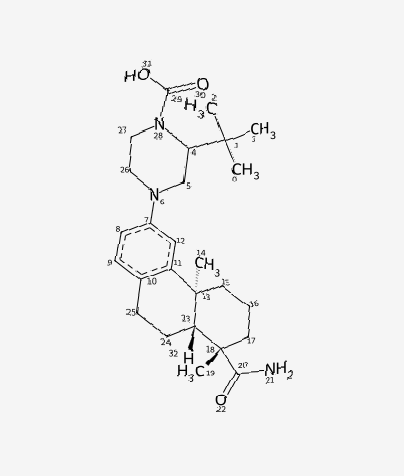 CC(C)(C)C1CN(c2ccc3c(c2)[C@@]2(C)CCC[C@](C)(C(N)=O)[C@@H]2CC3)CCN1C(=O)O